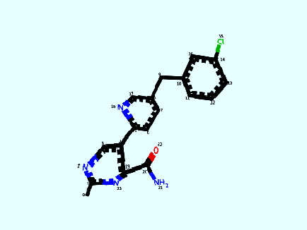 Cc1ncc(-c2ccc(Cc3cccc(Cl)c3)cn2)c(C(N)=O)n1